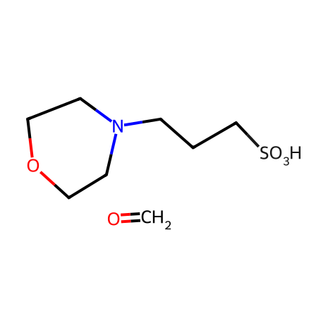 C=O.O=S(=O)(O)CCCN1CCOCC1